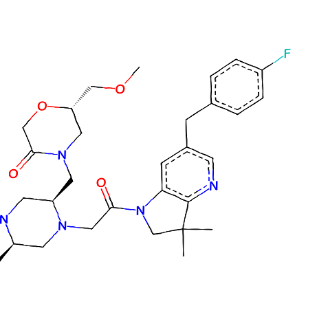 COC[C@@H]1CN(C[C@@H]2CN[C@H](C)CN2CC(=O)N2CC(C)(C)c3ncc(Cc4ccc(F)cc4)cc32)C(=O)CO1